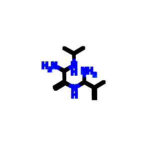 C=C(C)C(N)NC(=C)C(N)NC(C)C